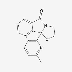 Cc1cccc(C23OCCN2C(=O)c2cccnc23)n1